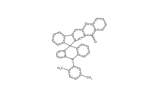 Cc1ccc(C)c(N2c3ccccc3C3(c4ccccc4-c4cc5oc6ccccc6c(=O)c5cc43)c3ccccc32)c1